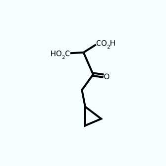 O=C(O)C(C(=O)O)C(=O)CC1CC1